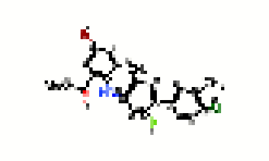 COC(=O)c1cc(Br)ccc1Nc1cc(F)c(-c2ccc(Cl)c(C)c2)cc1C